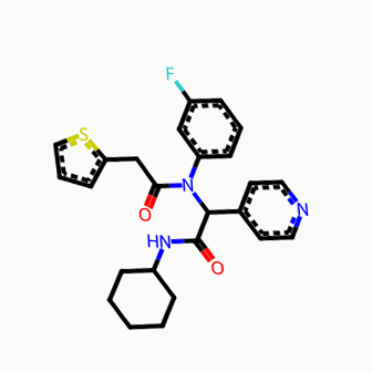 O=C(NC1CCCCC1)C(c1ccncc1)N(C(=O)Cc1cccs1)c1cccc(F)c1